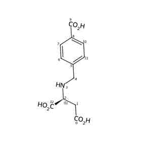 O=C(O)C[C@H](NCc1ccc(C(=O)O)cc1)C(=O)O